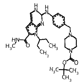 CCC(CC)n1c(C(=O)NC)cc2c1=NC(Nc1ccc(CN3CCN(C(=O)OC(C)(C)C)CC3)cc1)NC=2